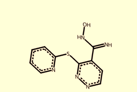 N=C(NO)c1ccnnc1Sc1ccccn1